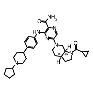 NC(=O)c1ncc(N2CC[C@H]3CCN(C(=O)C4CC4)[C@H]3C2)nc1Nc1ccc(C2CCN(C3CCCC3)CC2)cc1